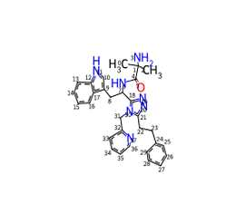 CC(C)(N)C(=O)NC(Cc1c[nH]c2ccccc12)c1nnc(CCc2ccccc2)n1Cc1ccccn1